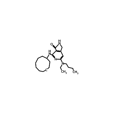 CCCCN(CC)c1cc2c(c(NC3CCCCCCCCC3)n1)C(=O)NC2